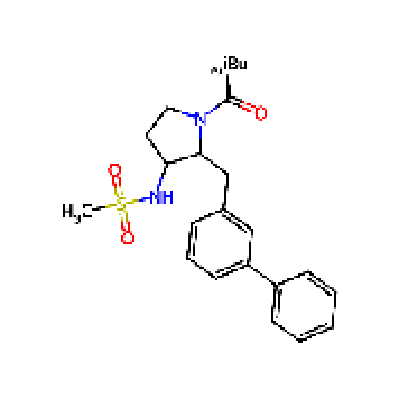 CC[C@H](C)C(=O)N1CCC(NS(C)(=O)=O)C1Cc1cccc(-c2ccccc2)c1